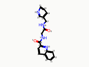 O=C(CNC(=O)c1ccc2ccccc2n1)NCc1cccnc1